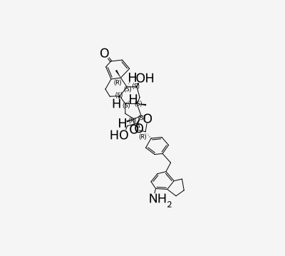 C[C@]12C=CC(=O)C=C1CC[C@@H]1[C@@H]2[C@@H](O)C[C@@]2(C)[C@H]1C[C@H]1O[C@@H](c3ccc(Cc4ccc(N)c5c4CCC5)cc3)O[C@]12C(=O)CO